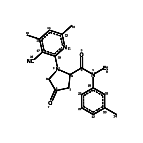 CCN(C(=O)C1CC(=O)CN1c1nc(C)cc(C)c1C#N)c1cccc(C)c1